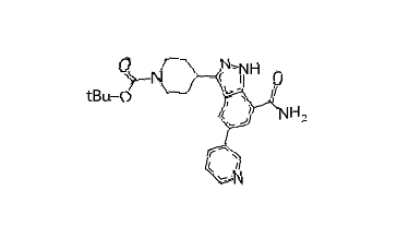 CC(C)(C)OC(=O)N1CCC(c2n[nH]c3c(C(N)=O)cc(-c4cccnc4)cc23)CC1